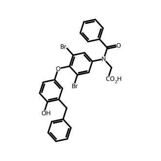 O=C(O)CN(C(=O)c1ccccc1)c1cc(Br)c(Oc2ccc(O)c(Cc3ccccc3)c2)c(Br)c1